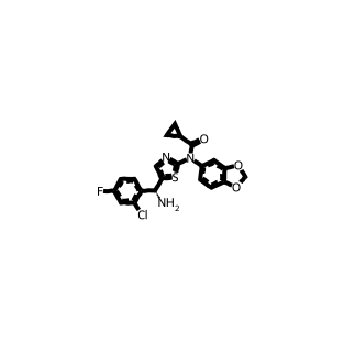 N[C@@H](c1cnc(N(C(=O)C2CC2)c2ccc3c(c2)OCO3)s1)c1ccc(F)cc1Cl